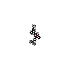 c1ccc(-c2nc3cc(-c4ccc(N(c5ccc(-n6c7ccccc7c7ccccc76)cc5)c5ccccc5-c5ccccc5)cc4)c4ccccc4c3o2)cc1